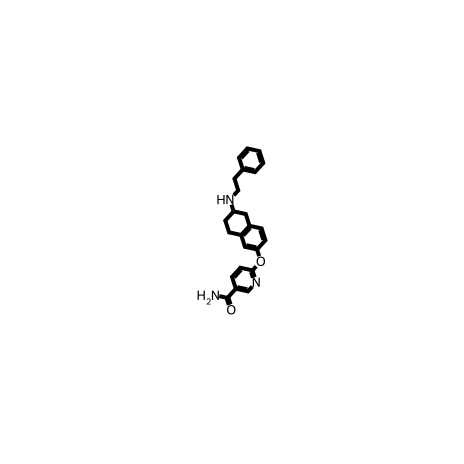 NC(=O)c1ccc(Oc2ccc3c(c2)CCC(NCCc2ccccc2)C3)nc1